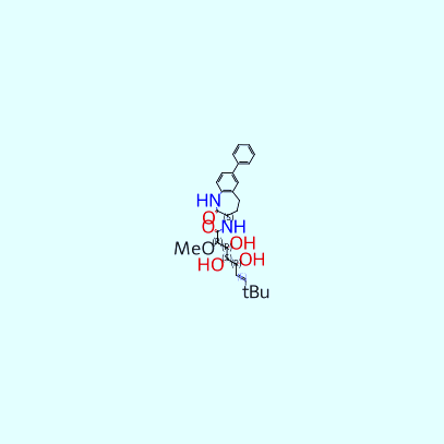 CO[C@@H](C(=O)N[C@H]1CCc2cc(-c3ccccc3)ccc2NC1=O)[C@H](O)[C@@H](O)[C@H](O)/C=C/C(C)(C)C